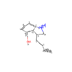 CNCCC1CNc2cccc(O)c21